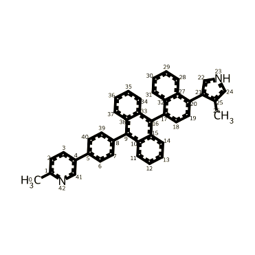 Cc1ccc(-c2ccc(-c3c4ccccc4c(-c4ccc(-c5c[nH]cc5C)c5ccccc45)c4ccccc34)cc2)cn1